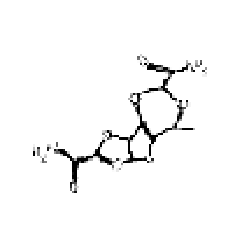 CC1OC(C(N)=O)OC2C1OC1OC(C(N)=O)OC12